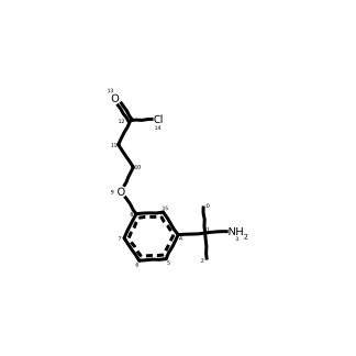 CC(C)(N)c1cccc(OCCC(=O)Cl)c1